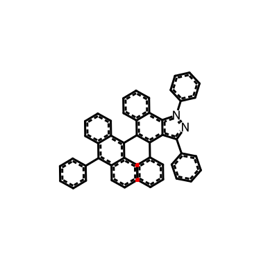 c1ccc(-c2c3ccccc3c(-c3c(-c4ccccc4)c4c(-c5ccccc5)nn(-c5ccccc5)c4c4ccccc34)c3ccccc23)cc1